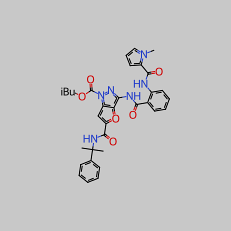 CCC(C)OC(=O)n1nc(NC(=O)c2ccccc2NC(=O)c2cccn2C)c2oc(C(=O)NC(C)(C)c3ccccc3)cc21